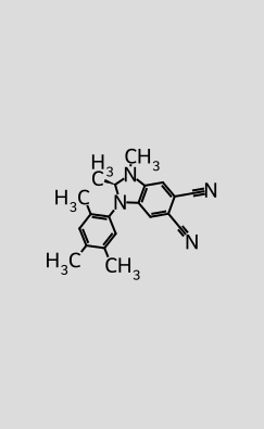 Cc1cc(C)c(N2c3cc(C#N)c(C#N)cc3N(C)[C@@H]2C)cc1C